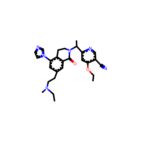 CCOc1cc(C(C)N2CCc3c(cc(CCN(C)CC)cc3-n3ccnc3)C2=O)ncc1C#N